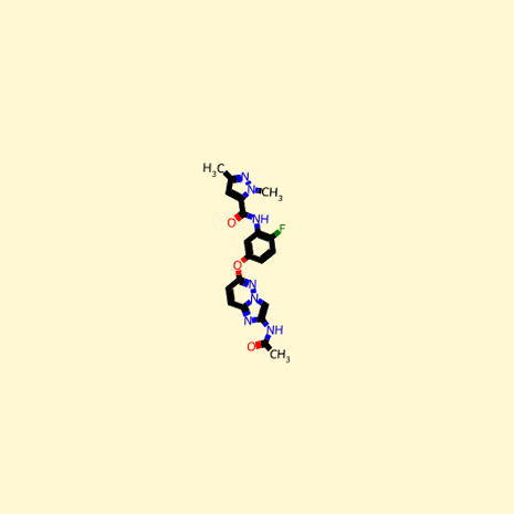 CC(=O)Nc1cn2nc(Oc3ccc(F)c(NC(=O)c4cc(C)nn4C)c3)ccc2n1